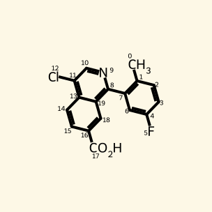 Cc1ccc(F)cc1-c1ncc(Cl)c2ccc(C(=O)O)cc12